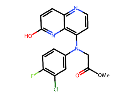 COC(=O)CN(c1ccc(F)c(Cl)c1)c1ccnc2ccc(O)nc12